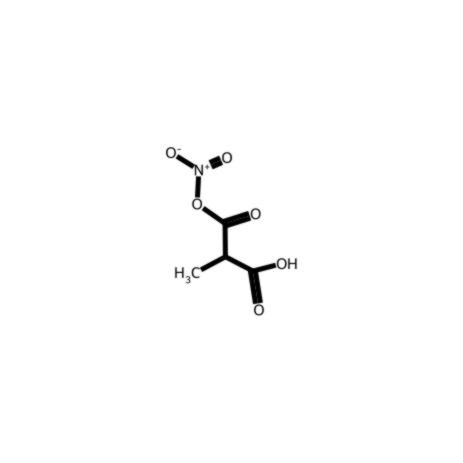 CC(C(=O)O)C(=O)O[N+](=O)[O-]